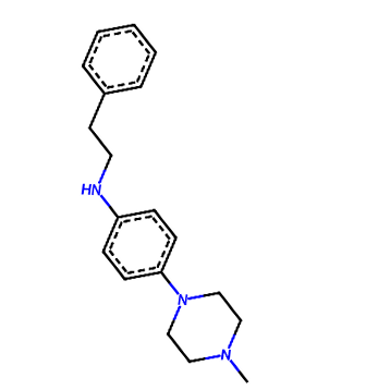 CN1CCN(c2ccc(NCCc3ccccc3)cc2)CC1